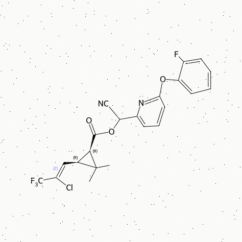 CC1(C)[C@H](C(=O)OC(C#N)c2cccc(Oc3ccccc3F)n2)[C@@H]1/C=C(\Cl)C(F)(F)F